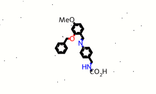 COc1ccc(/C=N/c2ccc(CNC(=O)O)cc2)c(OCc2ccccc2)c1